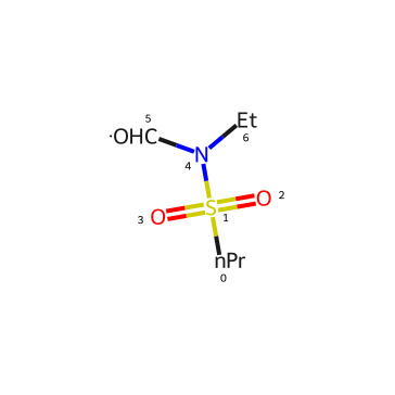 CCCS(=O)(=O)N([C]=O)CC